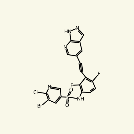 O=S(=O)(Nc1ccc(F)c(C#Cc2cnc3[nH]ncc3c2)c1F)c1cnc(Cl)c(Br)c1